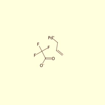 C=C[CH2][Pd+].O=C([O-])C(F)(F)F